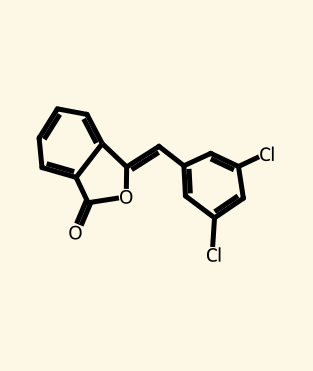 O=C1OC(=Cc2cc(Cl)cc(Cl)c2)c2ccccc21